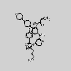 C=CC(=O)Nc1cc(Nc2cc(-n3c(CCCO)nnc3-c3ccc(F)cc3)ccn2)ccc1N1CCC(N2CCOCC2)CC1